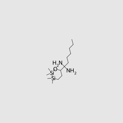 CCCCCCC(N)(N)C1CC[Si](C)(C)[Si](C)(C)O1